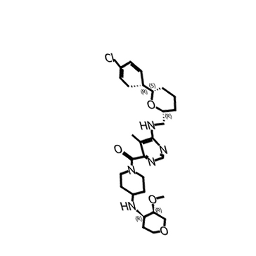 CO[C@H]1COCC[C@H]1NC1CCN(C(=O)c2ncnc(NC[C@H]3CCC[C@@H]([C@H]4C=CC(Cl)=CC4)O3)c2C)CC1